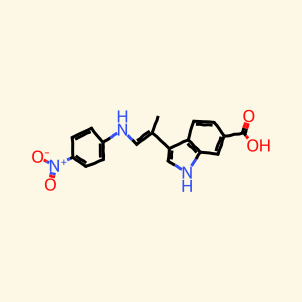 C/C(=C\Nc1ccc([N+](=O)[O-])cc1)c1c[nH]c2cc(C(=O)O)ccc12